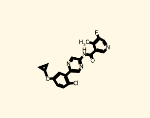 Cc1c(F)cncc1C(=O)Nc1cnc(-c2cc(OC3CC3)ccc2Cl)cn1